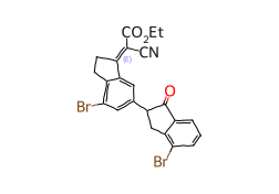 CCOC(=O)/C(C#N)=C1\CCc2c(Br)cc(C3Cc4c(Br)cccc4C3=O)cc21